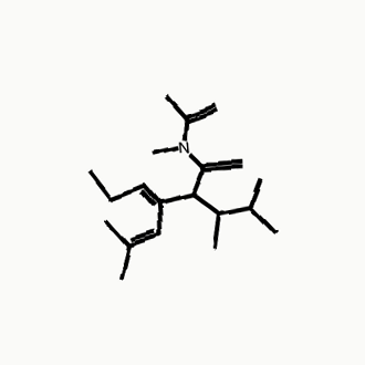 C=C(C)N(C)C(=C)C(/C(C=C(C)C)=C/CC)C(C)C(C)C